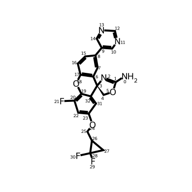 NC1=N[C@@]2(CO1)c1cc(-c3cncnc3)ccc1Oc1c(F)cc(OCC3CC3(F)F)cc12